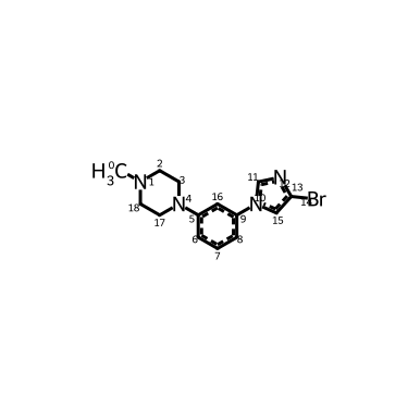 CN1CCN(c2cccc(-n3cnc(Br)c3)c2)CC1